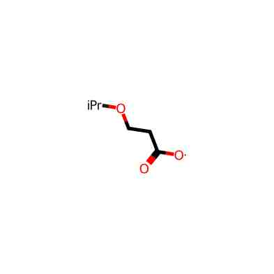 CC(C)OCCC([O])=O